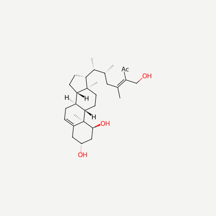 CC(=O)/C(CO)=C(/C)C[C@@H](C)[C@@H](C)[C@H]1CC[C@H]2[C@@H]3CC=C4C[C@@H](O)C[C@H](O)[C@]4(C)[C@H]3CC[C@]12C